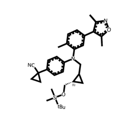 Cc1ccc(-c2c(C)noc2C)cc1N(CC1C[C@@H]1CO[Si](C)(C)C(C)(C)C)c1ccc(C2(C#N)CC2)cc1